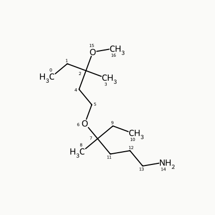 CCC(C)(CCOC(C)(CC)CCCN)OC